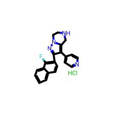 Cl.Fc1c(-c2nn3c(c2-c2ccncc2)CNCC3)ccc2ccccc12